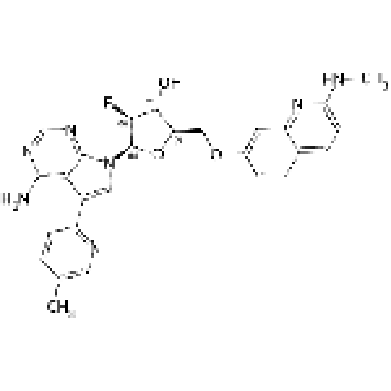 CNc1ccc2ccc(OC[C@H]3O[C@@H](n4cc(-c5ccc(C)cn5)c5c(N)ncnc54)[C@@H](F)[C@@H]3O)cc2n1